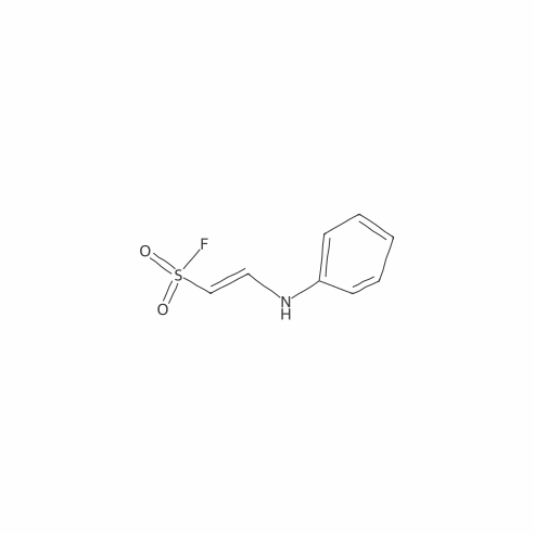 O=S(=O)(F)/C=C/Nc1ccccc1